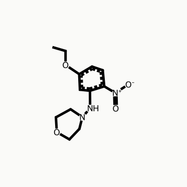 CCOc1ccc([N+](=O)[O-])c(NN2CCOCC2)c1